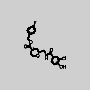 O=C(NCC1CN(C(=O)OCc2ccc(F)cc2)CCO1)c1ccc(O)c(Cl)c1